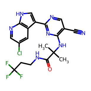 CC(C)(Nc1nc(-c2c[nH]c3ncc(Cl)cc23)ncc1C#N)C(=O)NCCC(F)(F)F